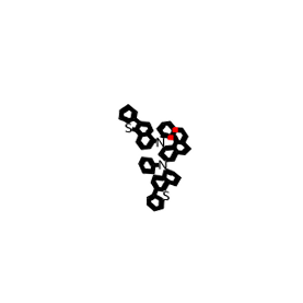 c1ccc(N(c2cc(N(c3ccccc3)c3cccc4c3ccc3c5ccccc5sc43)c3c(ccc4ccccc43)c2)c2cccc3c2ccc2c4ccccc4sc32)cc1